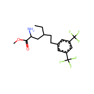 CCC(CCc1cc(C(F)(F)F)cc(C(F)(F)F)c1)CC(N)C(=O)OC